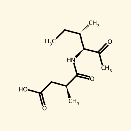 CC[C@H](C)[C@H](NC(=O)[C@@H](C)CC(=O)O)C(C)=O